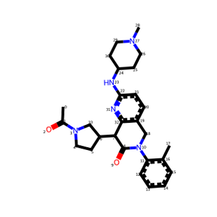 CC(=O)N1CCC(C2C(=O)N(c3ccccc3C)Cc3ccc(NC4CCN(C)CC4)nc32)C1